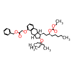 CCCCC[C@@H](CC[C@H]1C(O[Si](CC)(CC)CC)C[C@@H]2Cc3c(cccc3OCC(=O)OCc3ccccc3)C[C@@H]21)OC(=O)OCC